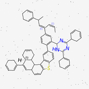 C/C=C\C(=C/C(C)C1=CCCC=C1)c1ccc(-c2ccc3sc4c(c3c2)C2C(C=C4)C=C(C3=CC=CCC3)[C@H]3CC=CCC23)c(C2N=C(C3C=CC=CC3)N=C(C3=CC=CCC3)N2)c1